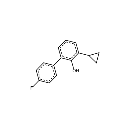 Oc1c(-c2ccc(F)cc2)cccc1C1CC1